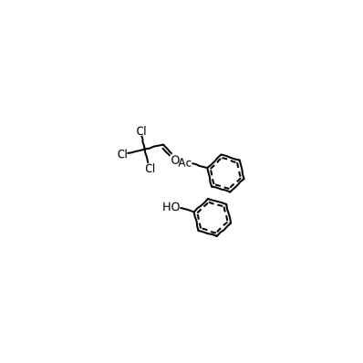 CC(=O)c1ccccc1.O=CC(Cl)(Cl)Cl.Oc1ccccc1